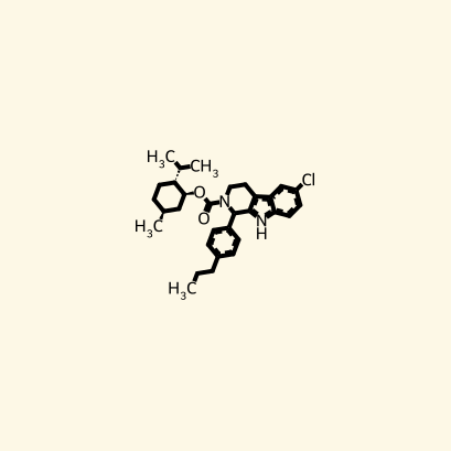 CCCc1ccc(C2c3[nH]c4ccc(Cl)cc4c3CCN2C(=O)O[C@H]2C[C@@H](C)CC[C@@H]2C(C)C)cc1